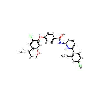 COC1=C(c2cccc(NC(=O)c3ccc(Oc4cc5c(cc4Cl)C(C(=O)O)CCO5)cc3)n2)C=CC(Cl)C1